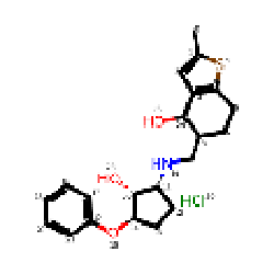 Cc1cc2c(s1)CCC(CN[C@@H]1CC[C@@H](Oc3ccccc3)[C@@H]1O)C2O.Cl